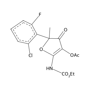 CCOC(=O)NC1=C(OC(C)=O)C(=O)C(C)(c2c(F)cccc2Cl)O1